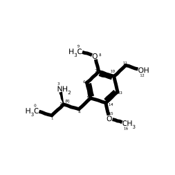 CC[C@@H](N)Cc1cc(OC)c(CO)cc1OC